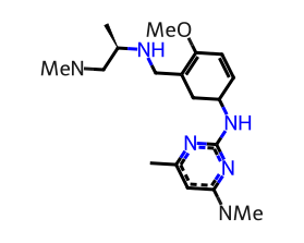 CNC[C@@H](C)NCC1=C(OC)C=CC(Nc2nc(C)cc(NC)n2)C1